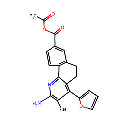 N#Cc1c(N)nc2c(c1-c1ccco1)CCc1cc(C(=O)OC(=O)C(F)(F)F)ccc1-2